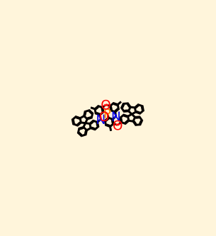 Cc1cc2c3c(c1)N(c1ccc4c(c1)C1(c5ccccc5-c5ccccc51)c1ccccc1-4)c1cc(C)c4c5c1P3(=O)c1c(cc(C)cc1N5c1cc3c(cc1O4)-c1ccccc1C31c3ccccc3-c3ccccc31)O2